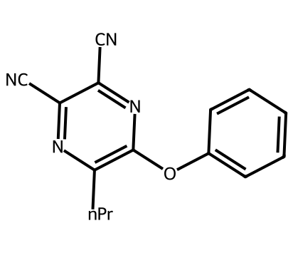 CCCc1nc(C#N)c(C#N)nc1Oc1ccccc1